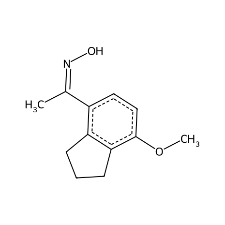 COc1ccc(/C(C)=N\O)c2c1CCC2